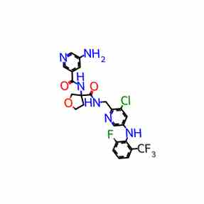 Nc1cncc(C(=O)NC2(C(=O)NCc3ncc(Nc4c(F)cccc4C(F)(F)F)cc3Cl)CCOC2)c1